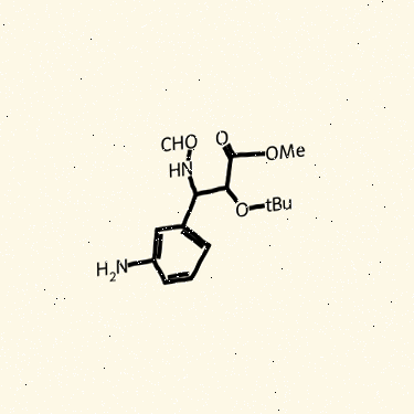 COC(=O)C(OC(C)(C)C)C(NC=O)c1cccc(N)c1